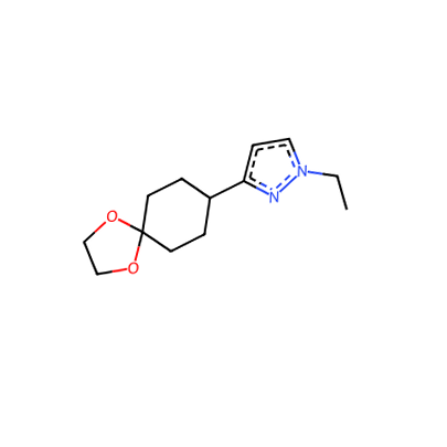 CCn1ccc(C2CCC3(CC2)OCCO3)n1